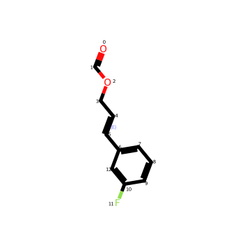 O=[C]OC/C=C/c1cccc(F)c1